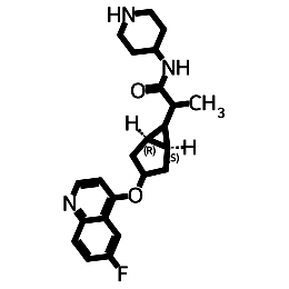 CC(C(=O)NC1CCNCC1)C1[C@H]2CC(Oc3ccnc4ccc(F)cc34)C[C@@H]12